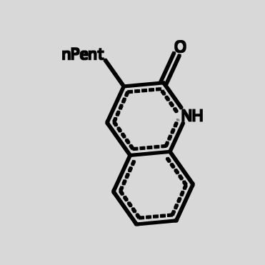 CCCCCc1cc2ccccc2[nH]c1=O